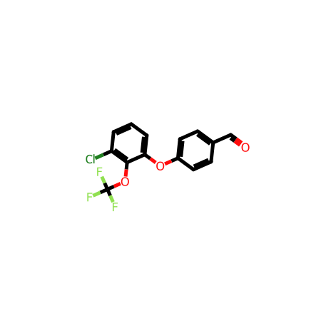 O=Cc1ccc(Oc2cccc(Cl)c2OC(F)(F)F)cc1